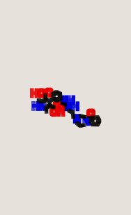 COc1ccccc1N1CCCN(CCCNC(=O)Nc2cccc(C3C(C(=O)O)=C(C)NC(C)=C3C(=O)O)c2)CC1